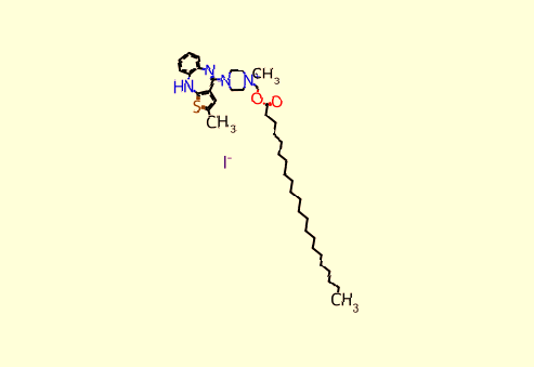 CCCCCCCCCCCCCCCCCCCCCC(=O)OC[N+]1(C)CCN(C2=Nc3ccccc3Nc3sc(C)cc32)CC1.[I-]